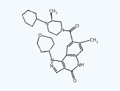 Cc1cc2[nH]c(=O)c3cnn(C4CCOCC4)c3c2cc1C(=O)N1CCN(C2CCCCC2)[C@@H](C)C1